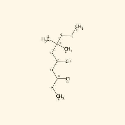 CCCC(C)(C)CC(Cl)CC(Cl)CC